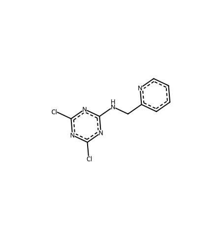 Clc1nc(Cl)nc(NCc2ccccn2)n1